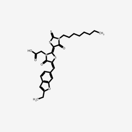 CCCCCCCCN1C(=O)/C(=c2\s/c(=C/c3ccc4cc(CC)oc4c3)c(=O)n2CC(=O)O)SC1=S